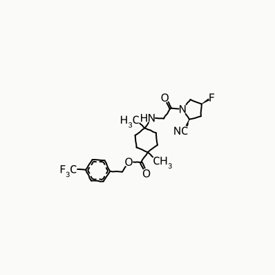 CC1(NCC(=O)N2C[C@@H](F)C[C@H]2C#N)CCC(C)(C(=O)OCc2ccc(C(F)(F)F)cc2)CC1